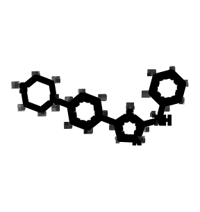 c1ccc(Nc2ncc(-c3ccc(N4CCSCC4)cc3)s2)cc1